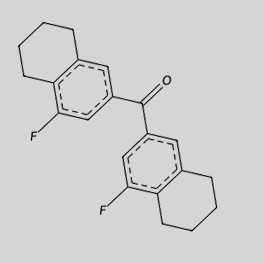 O=C(c1cc(F)c2c(c1)CCCC2)c1cc(F)c2c(c1)CCCC2